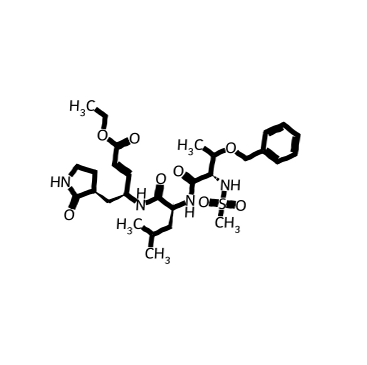 CCOC(=O)/C=C/[C@H](C[C@@H]1CCNC1=O)NC(=O)[C@H](CC(C)C)NC(=O)[C@@H](NS(C)(=O)=O)C(C)OCc1ccccc1